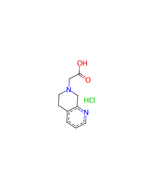 Cl.O=C(O)CN1CCc2cccnc2C1